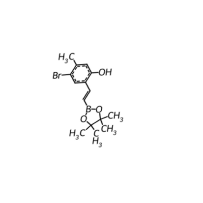 Cc1cc(O)c(/C=C/B2OC(C)(C)C(C)(C)O2)cc1Br